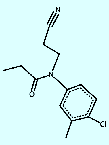 CCC(=O)N(CCC#N)c1ccc(Cl)c(C)c1